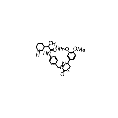 COc1ccc(C2=NN(Cc3ccc(NC(=O)C(C)C4CCCNC4)cc3)C(=O)SC2)cc1OC(C)C